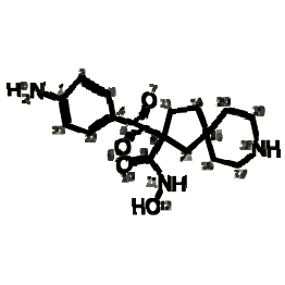 Nc1ccc(S(=O)(=O)C2(C(=O)NO)CCC3(CCNCC3)C2)cc1